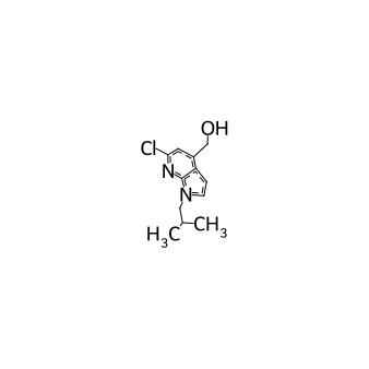 CC(C)Cn1ccc2c(CO)cc(Cl)nc21